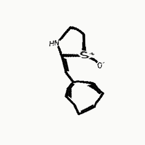 [O-][S+]1CCNC1=Cc1ccccc1